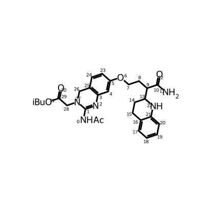 CC(=O)NC1=Nc2cc(OCCC(C(N)=O)C3CCc4ccccc4N3)ccc2CN1CC(=O)OCC(C)C